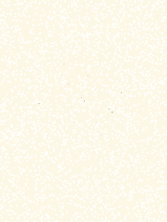 CC(=O)Oc1c(CC2CCCO2)nc2c(Cc3ccccc3)nc(-c3ccccc3)cn12